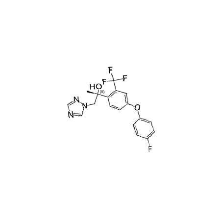 C[C@](O)(Cn1cncn1)c1ccc(Oc2ccc(F)cc2)cc1C(F)(F)F